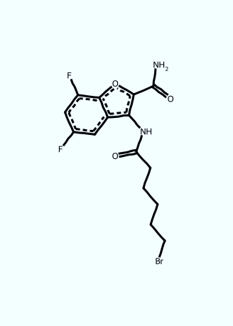 NC(=O)c1oc2c(F)cc(F)cc2c1NC(=O)CCCCCBr